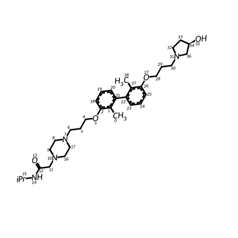 Cc1c(OCCCN2CCN(CC(=O)NC(C)C)CC2)cccc1-c1cccc(OCCCN2CC[C@@H](O)C2)c1C